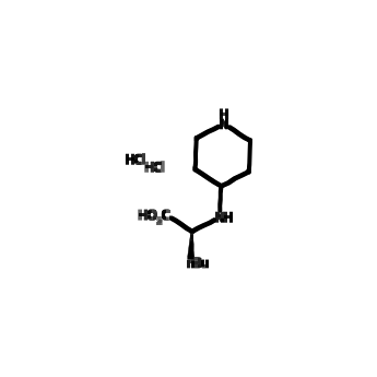 CCCC[C@H](NC1CCNCC1)C(=O)O.Cl.Cl